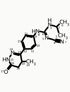 CC(C)NC(=NC#N)Nc1ccc(C2=NNC(=O)CC2C)cc1